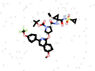 C=C[C@@H]1C[C@]1(NC(=O)[C@@H]1C[C@@H](Oc2nc(-c3ccc(OC(F)(F)F)cc3)cc3cc(OC)ccc23)CN1C(=O)OC(C)(C)C)C(=O)NS(=O)(=O)C1CC1